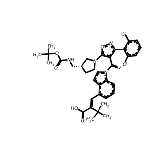 CC(C)(C)OC(=O)NC[C@H]1CCN(c2onc(-c3c(Cl)cccc3Cl)c2C(=O)n2ccc3c(/C=C(/C(=O)O)C(C)(C)C)cccc32)C1